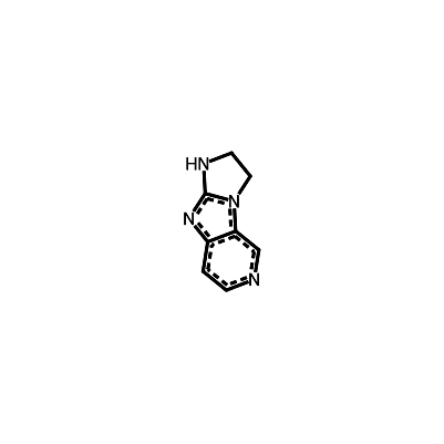 c1cc2nc3n(c2cn1)CCN3